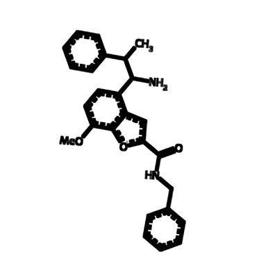 COc1ccc(C(N)C(C)c2ccccc2)c2cc(C(=O)NCc3ccccc3)oc12